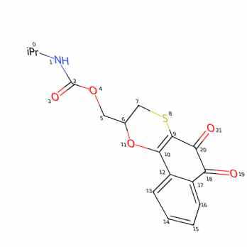 CC(C)NC(=O)OCC1CSC2=C(O1)c1ccccc1C(=O)C2=O